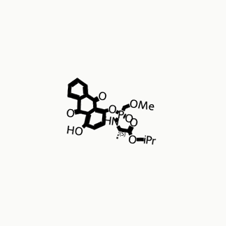 COCP(=O)(N[C@@H](C)C(=O)OC(C)C)Oc1ccc(O)c2c1C(=O)c1ccccc1C2=O